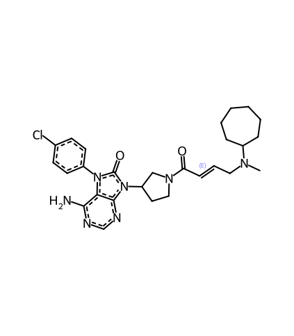 CN(C/C=C/C(=O)N1CCC(n2c(=O)n(-c3ccc(Cl)cc3)c3c(N)ncnc32)C1)C1CCCCCC1